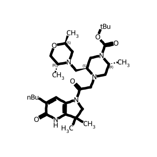 CCCCc1cc2c([nH]c1=O)C(C)(C)CN2C(=O)CN1C[C@@H](C)N(C(=O)OC(C)(C)C)C[C@@H]1CN1C[C@H](C)OC[C@H]1C